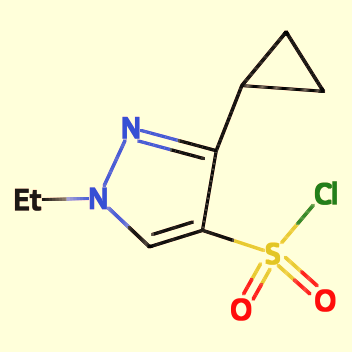 CCn1cc(S(=O)(=O)Cl)c(C2CC2)n1